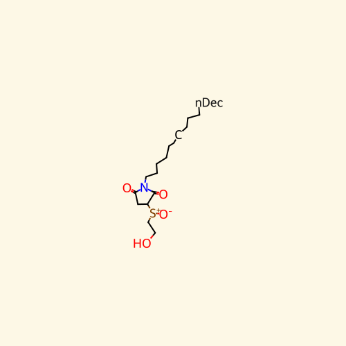 CCCCCCCCCCCCCCCCCCCCN1C(=O)CC([S+]([O-])CCO)C1=O